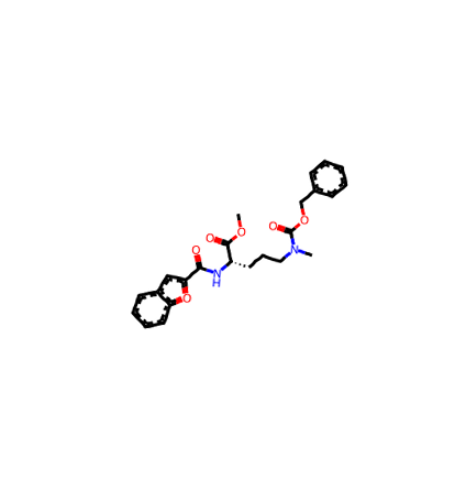 COC(=O)[C@H](CCCN(C)C(=O)OCc1ccccc1)NC(=O)c1cc2ccccc2o1